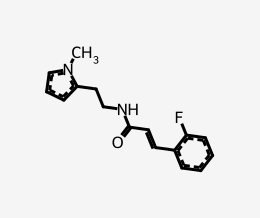 Cn1cccc1CCNC(=O)/C=C/c1ccccc1F